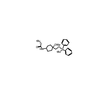 COC1(CO[Si](c2ccccc2)(c2ccccc2)C(C)(C)C)CCC(NC(=O)OC(C)(C)C)CC1